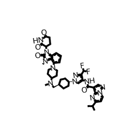 CC(C)c1ccn2ncc(C(=O)Nc3cn([C@H]4CC[C@H](CN(C)C5CCN(c6cccc7c6n(C)c(=O)n7C6CCC(=O)NC6=O)CC5)CC4)nc3C(F)F)c2n1